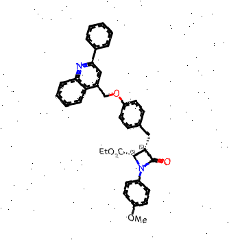 CCOC(=O)[C@@H]1[C@H](Cc2ccc(OCc3cc(-c4ccccc4)nc4ccccc34)cc2)C(=O)N1c1ccc(OC)cc1